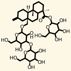 C=C1CC[C@@H]2[C@](COC3OC(CO)C(O)C(OC4OC(CO)[C@H](O)C(O)C4O)C3O)(CCC3[C@](C)(C(=O)OC4OC(CO)C(O)C(O)C4O)CCC[C@]32C)C1